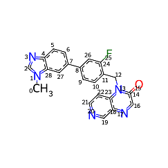 Cn1cnc2ccc(-c3ccc(Cn4c(=O)cnc5cnccc54)c(F)c3)cc21